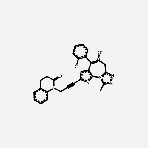 Cc1nnc2n1-c1sc(C#CCN3C(=O)CCc4ccccc43)cc1C(c1ccccc1Cl)=[N+]([O-])C2